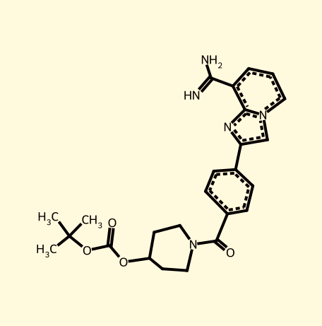 CC(C)(C)OC(=O)OC1CCN(C(=O)c2ccc(-c3cn4cccc(C(=N)N)c4n3)cc2)CC1